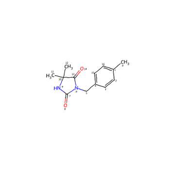 Cc1ccc(CN2C(=O)NC(C)(C)C2=O)cc1